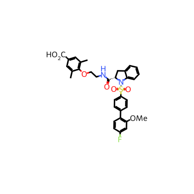 COc1cc(F)ccc1-c1ccc(S(=O)(=O)N2c3ccccc3C[C@H]2C(=O)NCCOc2c(C)cc(C(=O)O)cc2C)cc1